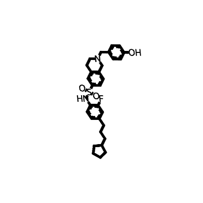 O=S(=O)(Nc1ccc(CCCC2CCCC2)cc1F)c1ccc2c(c1)CCN(Cc1ccc(O)cc1)C2